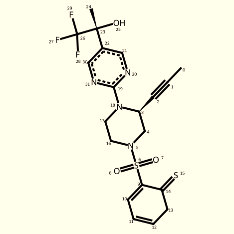 CC#C[C@H]1CN(S(=O)(=O)C2=CC=CCC2=S)CCN1c1ncc([C@@](C)(O)C(F)(F)F)cn1